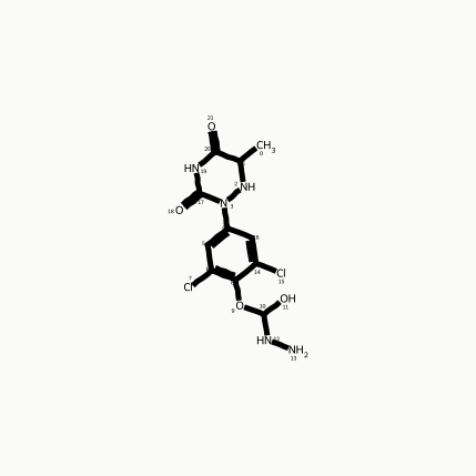 CC1NN(c2cc(Cl)c(OC(O)NN)c(Cl)c2)C(=O)NC1=O